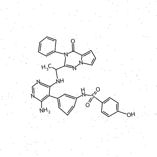 CC(Nc1ncnc(N)c1-c1cccc(NS(=O)(=O)c2ccc(O)cc2)c1)c1nn2cccc2c(=O)n1-c1ccccc1